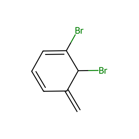 C=C1C=CC=C(Br)C1Br